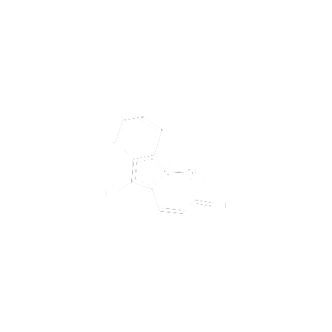 C=C/C=C\c1c(C)c2c(n1N)C=CCC2